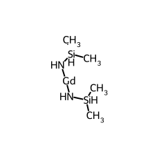 C[SiH](C)[NH][Gd][NH][SiH](C)C